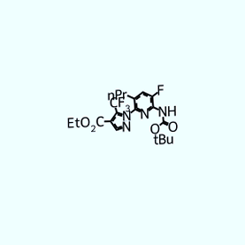 CCCc1cc(F)c(NC(=O)OC(C)(C)C)nc1-n1ncc(C(=O)OCC)c1C(F)(F)F